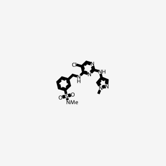 CNS(=O)(=O)c1cccc(CNc2nc(Nc3cnn(C)c3)ncc2Cl)c1